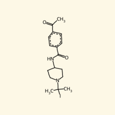 CC(=O)c1ccc(C(=O)NC2CCN(C(C)(C)I)CC2)cc1